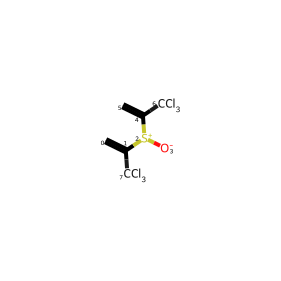 C=C([S+]([O-])C(=C)C(Cl)(Cl)Cl)C(Cl)(Cl)Cl